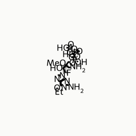 CCOc1nc(N)nc2c1ncn2[C@H](F)[C@H](O)[C@@](CN)(COP(=O)(O)OP(=O)(O)OP(=O)(O)O)OC